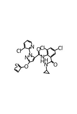 O=C(NC1CC1)c1cc(Cl)cc(Cl)c1NC(=O)c1cc(Oc2ccsc2)nn1-c1ncccc1Cl